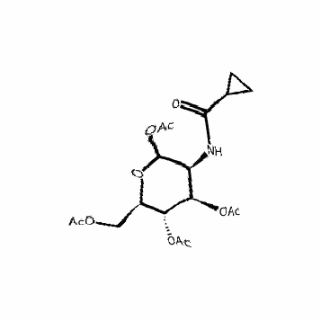 CC(=O)OC[C@H]1OC(OC(C)=O)[C@@H](NC(=O)C2CC2)[C@@H](OC(C)=O)[C@@H]1OC(C)=O